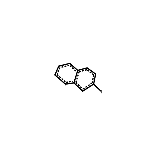 Ic1ccc2ccc[c]c2c1